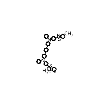 C=C(SC1=C(C)C=CCC1)c1ccc(N(c2ccccc2)c2ccc(-c3ccc(-c4ccc(N(c5ccccc5)c5ccc(-c6nc7c(s6)CCC(C)=C7)cc5)cc4)cc3)cc2)cc1